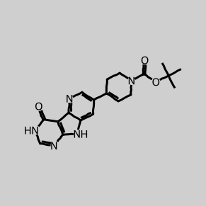 CC(C)(C)OC(=O)N1CC=C(c2cnc3c(c2)[nH]c2nc[nH]c(=O)c23)CC1